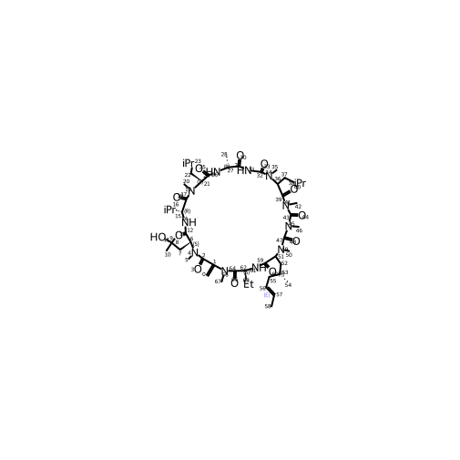 C=C1C(=O)N(C)[C@@H](CC(C)(C)O)C(=O)N[C@H](C(C)C)C(=O)N(C)[C@@H](CC(C)C)C(=O)N[C@H](C)C(=O)NC(=O)N(C)C(CC(C)C)C(=O)N(C)C(=O)N(C)C(=O)N(C)C(C[C@H](C)C/C=C/C)C(=O)N[C@@H](CC)C(=O)N1C